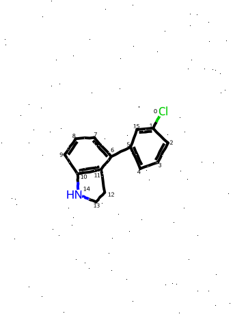 Clc1cccc(-c2cccc3c2CCN3)c1